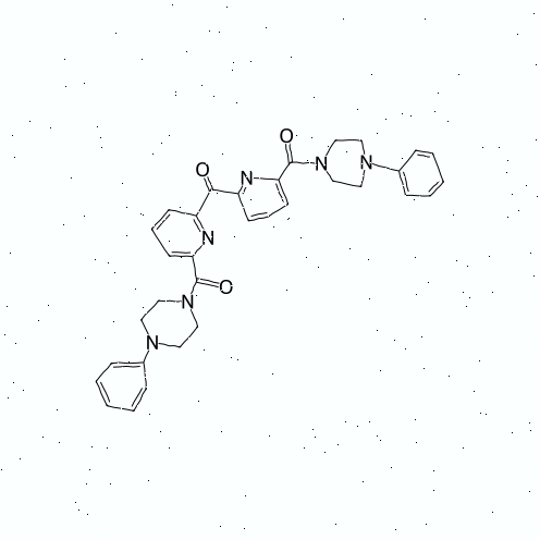 O=C(c1cccc(C(=O)N2CCN(c3ccccc3)CC2)n1)c1cccc(C(=O)N2CCN(c3ccccc3)CC2)n1